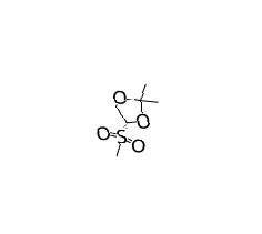 CC1(C)OC[C@@H](S(C)(=O)=O)O1